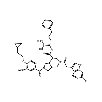 CNC(O)[C@H](CCCc1ccccc1)NC(=O)C1CN(C(=O)Cc2c[nH]c3cc(Cl)ccc23)CC2CN(C(=O)c3ccc(OCCC4CC4)c(OC)c3)CC21